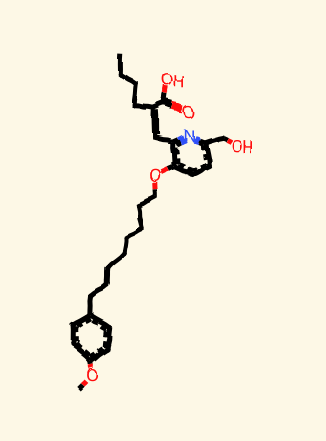 CCCCC(=Cc1nc(CO)ccc1OCCCCCCCCc1ccc(OC)cc1)C(=O)O